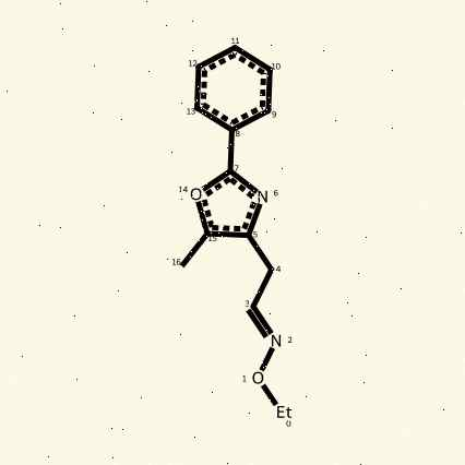 CCON=CCc1nc(-c2ccccc2)oc1C